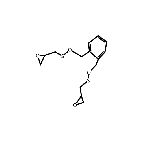 c1ccc(COSCC2CO2)c(COSCC2CO2)c1